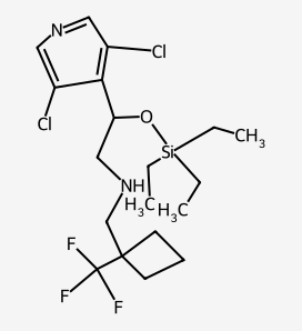 CC[Si](CC)(CC)OC(CNCC1(C(F)(F)F)CCC1)c1c(Cl)cncc1Cl